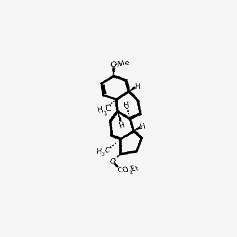 CCOC(=O)O[C@H]1CC[C@H]2[C@@H]3CC[C@H]4C[C@H](OC)C=C[C@]4(C)[C@H]3CC[C@]12C